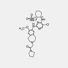 COc1cc2c(cc1Nc1ncc(Cl)c(N[C@@H]3CCCC[C@@H]3CN[SH](=O)=O)n1)CCN(CC(=O)N1CCCC1)CC2